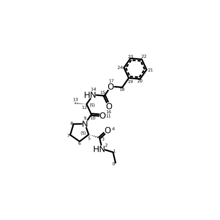 CCNC(=O)[C@@H]1CCCN1C(=O)[C@H](C)NC(=O)OCc1ccccc1